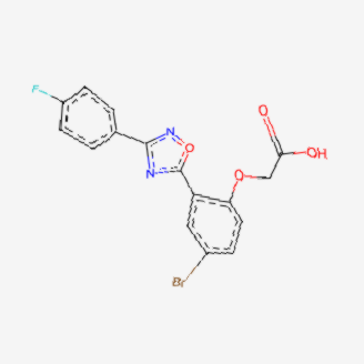 O=C(O)COc1ccc(Br)cc1-c1nc(-c2ccc(F)cc2)no1